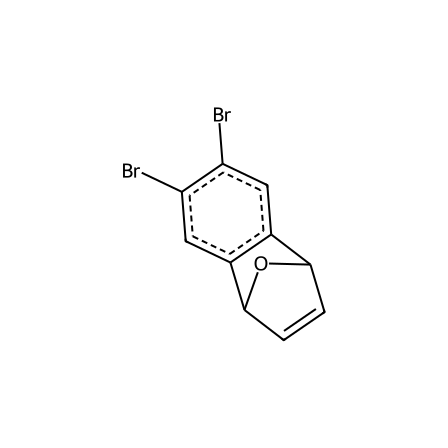 Brc1cc2c(cc1Br)C1C=CC2O1